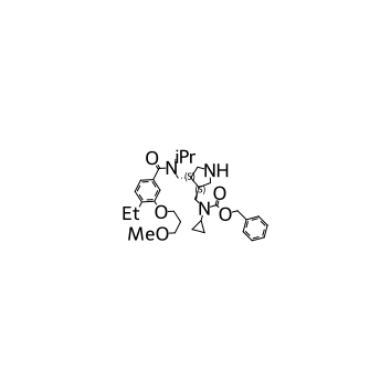 CCc1ccc(C(=O)N(C[C@@H]2CNC[C@H]2CN(C(=O)OCc2ccccc2)C2CC2)C(C)C)cc1OCCCOC